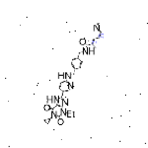 C=N/C=C\C=C(/C)C(=O)NCc1ccc(CNc2ccc(-c3nc4c([nH]3)c(=O)n(C3CC3)c(=O)n4CC)cn2)cc1